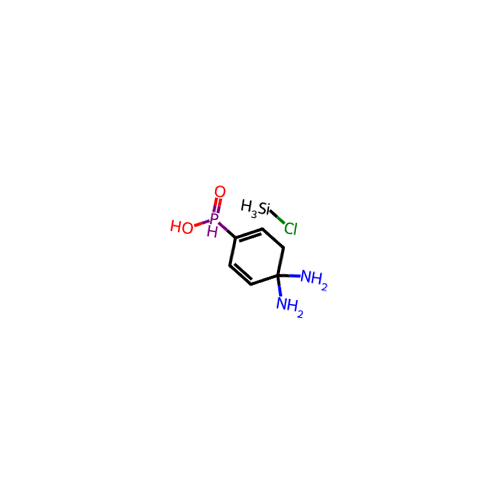 NC1(N)C=CC([PH](=O)O)=CC1.[SiH3]Cl